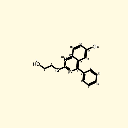 OCCSc1nc(-c2ccccc2)c2cc(Cl)ccc2n1